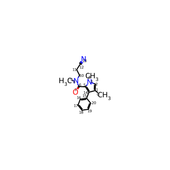 Cc1cn(C)c(C(=O)N(C)CCC#N)c1-c1ccccc1